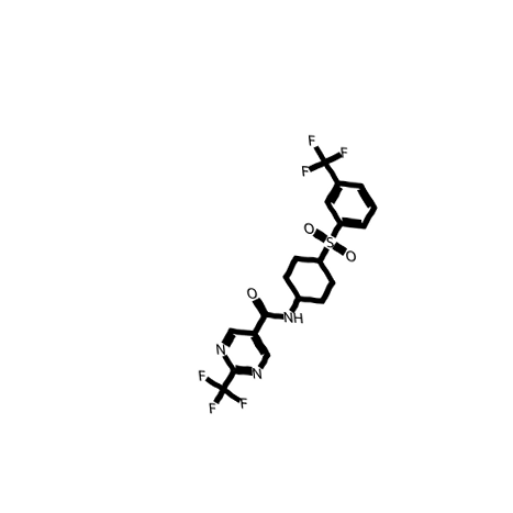 O=C(NC1CCC(S(=O)(=O)c2cccc(C(F)(F)F)c2)CC1)c1cnc(C(F)(F)F)nc1